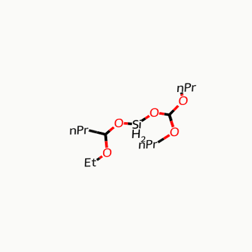 CCCOC(OCCC)O[SiH2]OC(CCC)OCC